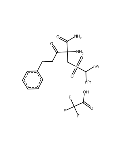 CCCC(CCC)S(=O)(=O)CC(N)(C(N)=O)C(=O)CCc1ccccc1.O=C(O)C(F)(F)F